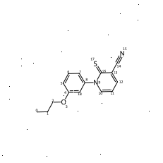 CCCOc1cccc(-n2cccc(C#N)c2=S)c1